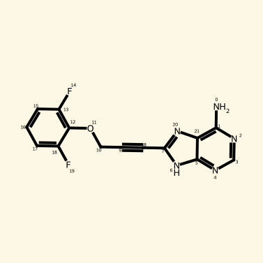 Nc1ncnc2[nH]c(C#CCOc3c(F)cccc3F)nc12